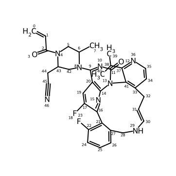 C=CC(=O)N1CC(C)N(c2nc(=O)n3c4nc(c(F)cc24)-c2c(F)cccc2CN/C=C/Cc2ccnc(C(C)C)c2-3)CC1CC#N